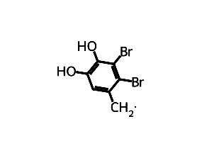 [CH2]c1cc(O)c(O)c(Br)c1Br